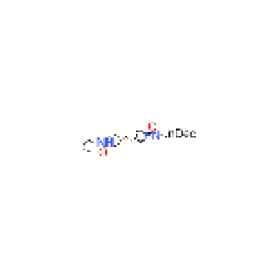 CCCCCCCCCCCCNC(=O)c1ccc([CH]CC2CCN(C(=O)NC3CCCCC3)CC2)cc1